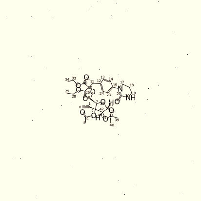 C#C[C@@]1(OC(C)=O)[C@@H](COC(Cc2ccc(N3CCCNC3=O)cc2)(C(=O)OCC)C(=O)OCC)O[C@@H]2OC(C)(C)O[C@@H]21